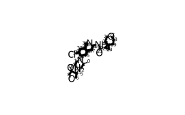 C[C@H]1CN([C@@]2(C)COC[C@H]2O)CCN1c1cc2cc(NC(=O)[C@@H]3CC34CCOCC4)ncc2cc1Cl